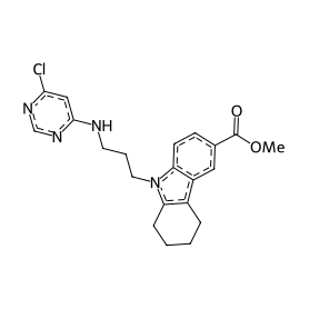 COC(=O)c1ccc2c(c1)c1c(n2CCCNc2cc(Cl)ncn2)CCCC1